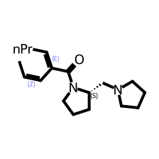 C/C=C\C(=C/CCC)C(=O)N1CCC[C@H]1CN1CCCC1